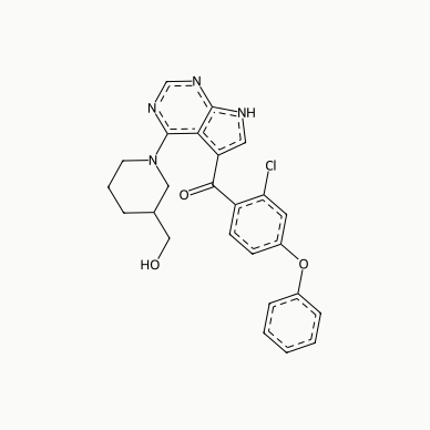 O=C(c1ccc(Oc2ccccc2)cc1Cl)c1c[nH]c2ncnc(N3CCCC(CO)C3)c12